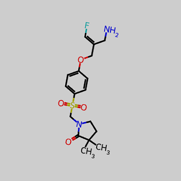 CC1(C)CCN(CS(=O)(=O)c2ccc(OCC(=CF)CN)cc2)C1=O